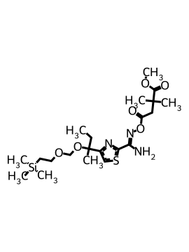 CCC(C)(OCOCC[Si](C)(C)C)c1csc(C(N)=NOC(=O)CC(C)(C)C(=O)OC)n1